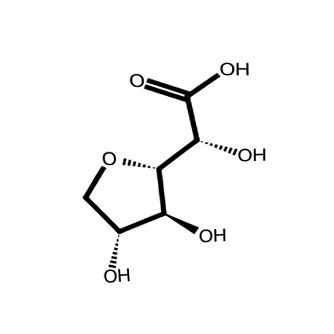 O=C(O)[C@H](O)[C@H]1OC[C@@H](O)[C@@H]1O